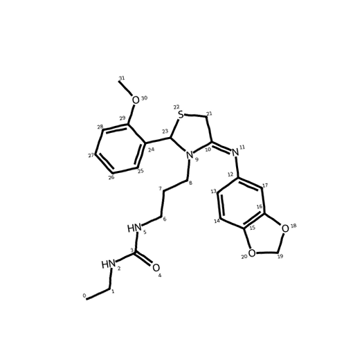 CCNC(=O)NCCCN1/C(=N\c2ccc3c(c2)OCO3)CSC1c1ccccc1OC